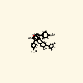 CC(C)(C)c1ccc2c3ccc(C(C)(C)C)cc3n(-c3cc(C#N)c(-c4cc(F)cc(F)c4)cc3-n3c4cc(C(C)(C)C)ccc4c4ccc(C(C)(C)C)cc43)c2c1